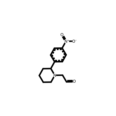 O=CCN1CCCCC1c1ccc([N+](=O)[O-])cc1